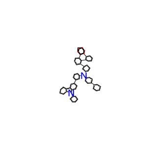 c1ccc(-c2ccc(N(c3cccc(-c4ccc5c(c4)c4ccccc4n5-c4ccccc4)c3)c3cccc(-c4cccc(-c5ccccc5)c4-c4ccccc4-c4ccccc4)c3)cc2)cc1